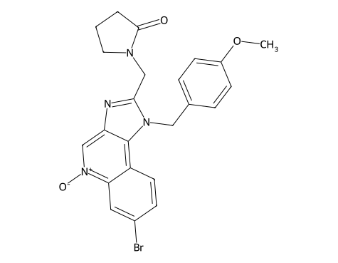 COc1ccc(Cn2c(CN3CCCC3=O)nc3c[n+]([O-])c4cc(Br)ccc4c32)cc1